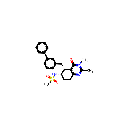 Cc1nc2c(c(=O)n1C)[C@@H](Cc1cccc(-c3ccccc3)c1)[C@@H](NS(C)(=O)=O)CC2